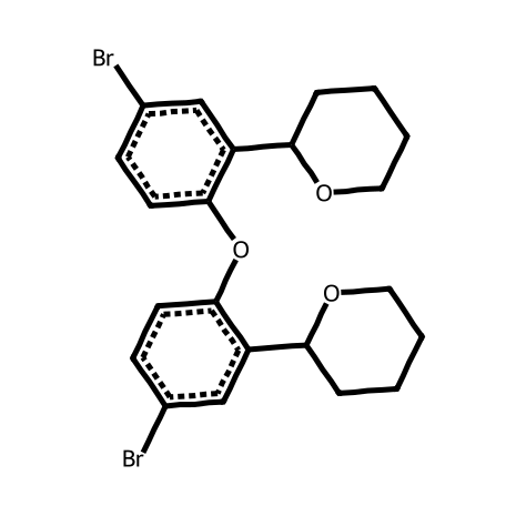 Brc1ccc(Oc2ccc(Br)cc2C2CCCCO2)c(C2CCCCO2)c1